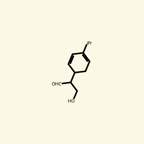 CC(C)C1=CCC(C(C=O)CO)C=C1